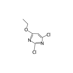 CCOc1cc(Cl)nc(Cl)n1